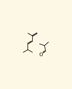 C=C(C)C=CC(C)C.CC(C)C=O